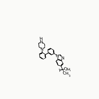 CC(O)(I)c1ccc2c(c1)ncn2-c1cccc(-c2ccccc2N2CCNCC2)c1